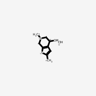 Cc1cc2c(s1)CN(C)CC2O.Cl